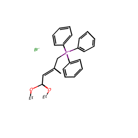 CCOC(C=C(C)C[P+](c1ccccc1)(c1ccccc1)c1ccccc1)OCC.[Br-]